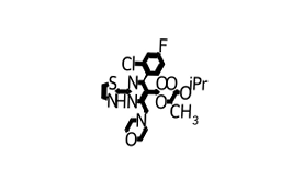 CC(C)OC(=O)[C@H](C)OC(=O)C1=C(CN2CCOCC2)NC(c2nccs2)=N[C@H]1c1ccc(F)cc1Cl